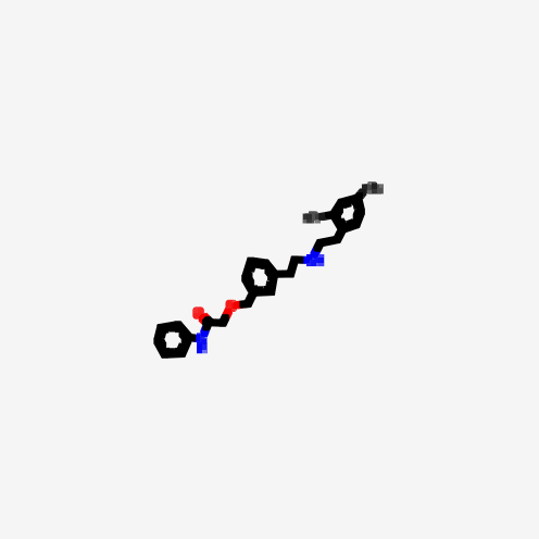 CCCCc1ccc(CCNCCc2cccc(COCC(=O)Nc3ccccc3)c2)c(CCC)c1